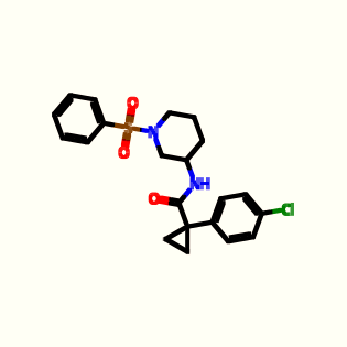 O=C(NC1CCCN(S(=O)(=O)c2ccccc2)C1)C1(c2ccc(Cl)cc2)CC1